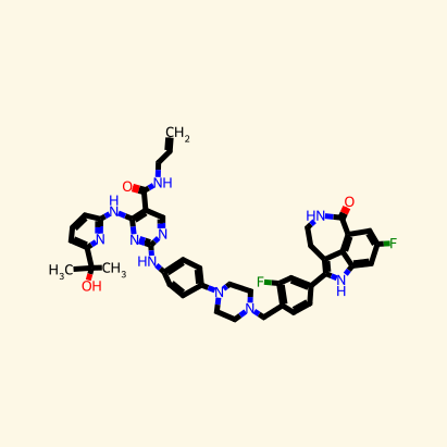 C=CCNC(=O)c1cnc(Nc2ccc(N3CCN(Cc4ccc(-c5[nH]c6cc(F)cc7c6c5CCNC7=O)cc4F)CC3)cc2)nc1Nc1cccc(C(C)(C)O)n1